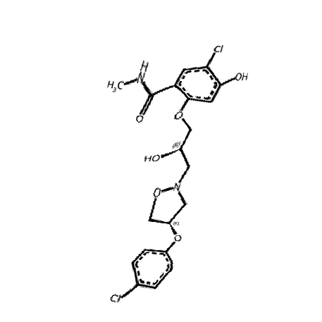 CNC(=O)c1cc(Cl)c(O)cc1OC[C@H](O)CN1C[C@@H](Oc2ccc(Cl)cc2)CO1